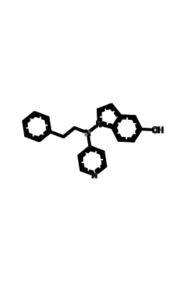 Oc1ccc2c(ccn2N(CCc2ccccc2)c2ccncc2)c1